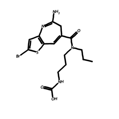 CCCN(CCCNC(=O)O)C(=O)C1=Cc2sc(Br)cc2N=C(N)C1